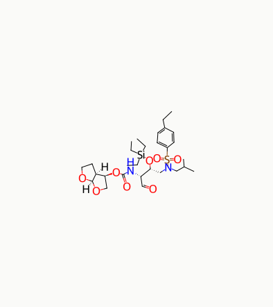 CCc1ccc(S(=O)(=O)N(CC(C)C)C[C@@H](O[Si](CC)(CC)CC)[C@H](C=O)NC(=O)O[C@H]2CO[C@H]3OCC[C@H]32)cc1